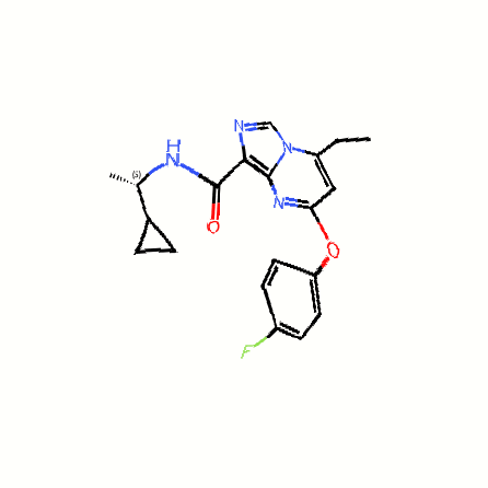 CCc1cc(Oc2ccc(F)cc2)nc2c(C(=O)N[C@@H](C)C3CC3)ncn12